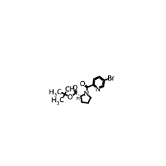 CC(C)(C)OC(=O)[C@H]1CCCN1C(=O)c1ccc(Br)cn1